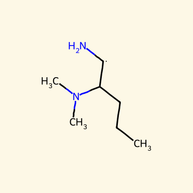 CCCC([CH]N)N(C)C